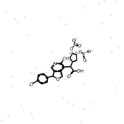 Cc1ncc2c(c1C(C(=O)O)C1C[C@H](O[N+](=O)[O-])[C@H](O[N+](=O)[O-])C1)COC2c1ccc(Cl)cc1